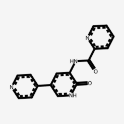 O=C(Nc1cc(-c2ccncc2)c[nH]c1=O)c1ccccn1